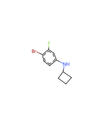 Fc1cc(NC2CCC2)ccc1Br